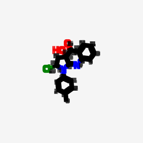 Cc1ccc(N2C3=Nc4ccccc4C(=O)C3(O)C[C@@H]2Cl)cc1